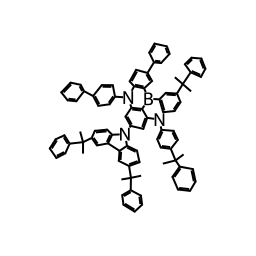 CC(C)(c1ccccc1)c1ccc(N2c3ccc(C(C)(C)c4ccccc4)cc3B3c4cc(-c5ccccc5)ccc4N(c4ccc(-c5ccccc5)cc4)c4cc(-n5c6ccc(C(C)(C)c7ccccc7)cc6c6cc(C(C)(C)c7ccccc7)ccc65)cc2c43)cc1